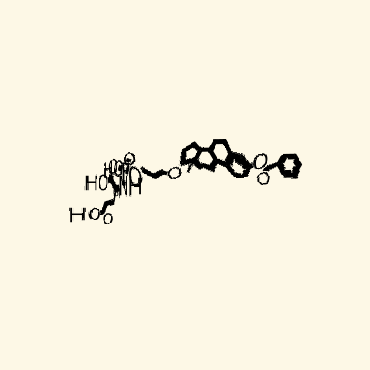 C[C@]12CCC3c4ccc(OC(=O)c5ccccc5)cc4CCC3C1CCC2OCCCOP(=O)(O)N[C@@H](CCC(=O)O)C(=O)O